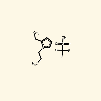 CCCn1cccc1CC.O=S(=O)(O)C(F)(F)F